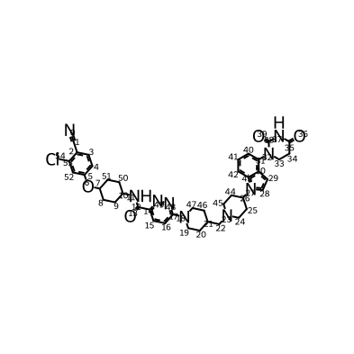 N#Cc1ccc(OC2CCC(NC(=O)c3ccc(N4CCC(CN5CCC(n6ccc7c(N8CCC(=O)NC8=O)cccc76)CC5)CC4)nn3)CC2)cc1Cl